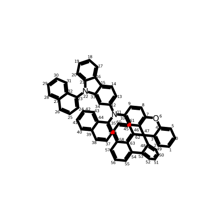 c1ccc2c(c1)Oc1ccc(N(c3ccc4c5ccccc5n(-c5cccc6ccccc56)c4c3)c3cccc4ccccc34)cc1C21c2ccccc2-c2cccc3cccc1c23